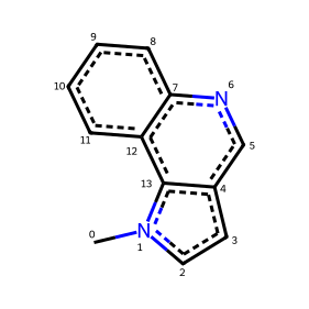 Cn1ccc2cnc3ccccc3c21